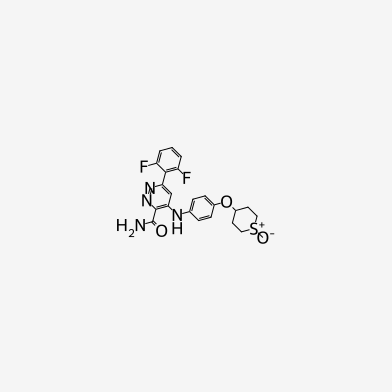 NC(=O)c1nnc(-c2c(F)cccc2F)cc1Nc1ccc(OC2CC[S+]([O-])CC2)cc1